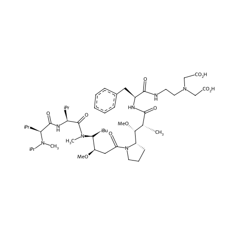 CC[C@H](C)[C@@H]([C@@H](CC(=O)N1CCC[C@H]1[C@H](OC)[C@@H](C)C(=O)N[C@@H](Cc1ccccc1)C(=O)NCCN(CC(=O)O)CC(=O)O)OC)N(C)C(=O)[C@@H](NC(=O)[C@H](C(C)C)N(C)C(C)C)C(C)C